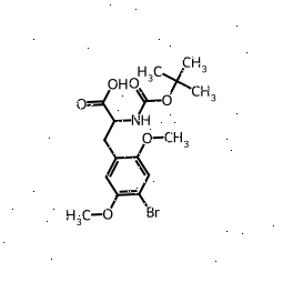 COc1cc(CC(NC(=O)OC(C)(C)C)C(=O)O)c(OC)cc1Br